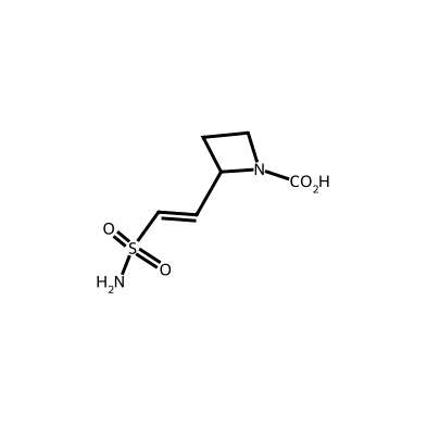 NS(=O)(=O)C=CC1CCN1C(=O)O